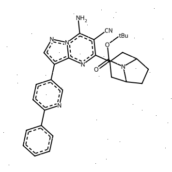 CC(C)(C)OC(=O)N1C2CCC1CC(c1nc3c(-c4ccc(-c5ccccc5)nc4)cnn3c(N)c1C#N)C2